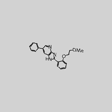 COCCOc1ccccc1-c1nc2ncc(-c3ccccc3)cc2[nH]1